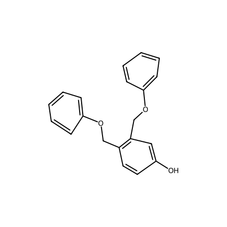 Oc1ccc(COc2ccccc2)c(COc2ccccc2)c1